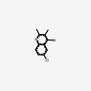 Cc1nc2ccc(Cl)cc2c(Br)c1C